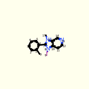 Cc1ccccc1-c1n(I)c2ccncc2[n+]1C